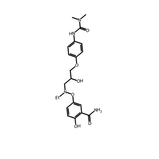 CCN(CC(O)COc1ccc(NC(=O)N(C)C)cc1)Oc1ccc(O)c(C(N)=O)c1